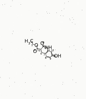 CCOC(=O)C1Cc2ccc(O)cc2NC1=O